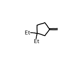 C=C1CCC(CC)(CC)C1